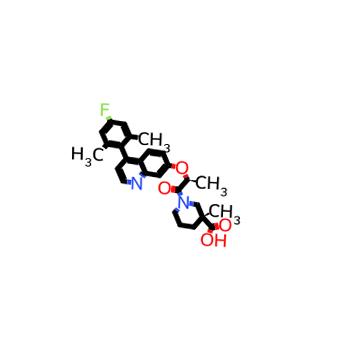 Cc1cc(F)cc(C)c1-c1ccnc2cc(O[C@H](C)C(=O)N3CCC[C@](C)(C(=O)O)C3)ccc12